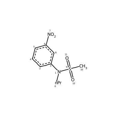 CCCN(c1cccc([N+](=O)[O-])c1)S(C)(=O)=O